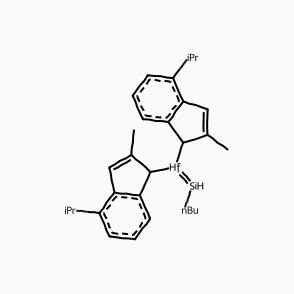 CCCC[SiH]=[Hf]([CH]1C(C)=Cc2c(C(C)C)cccc21)[CH]1C(C)=Cc2c(C(C)C)cccc21